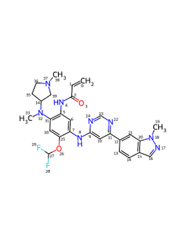 C=CC(=O)Nc1cc(Nc2cc(-c3ccc4cnn(C)c4c3)ncn2)c(OC(F)F)cc1N(C)C1CCN(C)C1